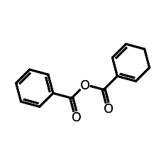 O=C(OC(=O)c1ccccc1)C1=CCCC=C1